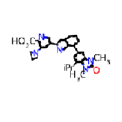 CC(C)c1cc(-c2cccc3cc(-c4cnc(C(=O)O)c(N5CCC5)c4)ncc23)cc2c1n(C)c(=O)n2C